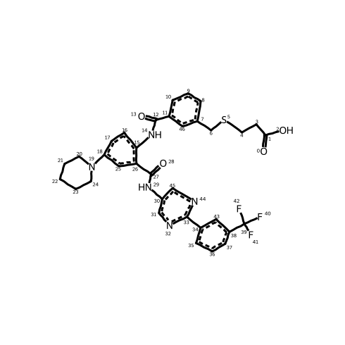 O=C(O)CCSCc1cccc(C(=O)Nc2ccc(N3CCCCC3)cc2C(=O)Nc2cnc(-c3cccc(C(F)(F)F)c3)nc2)c1